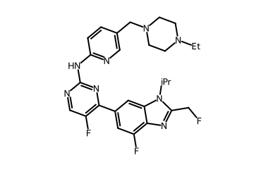 CCN1CCN(Cc2ccc(Nc3ncc(F)c(-c4cc(F)c5nc(CF)n(C(C)C)c5c4)n3)nc2)CC1